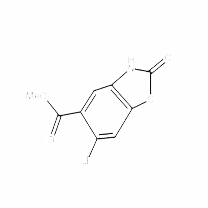 COC(=O)c1cc2[nH]c(=O)oc2cc1Cl